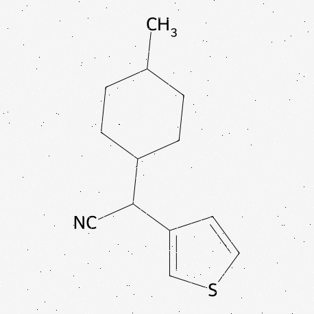 CC1CCC(C(C#N)c2ccsc2)CC1